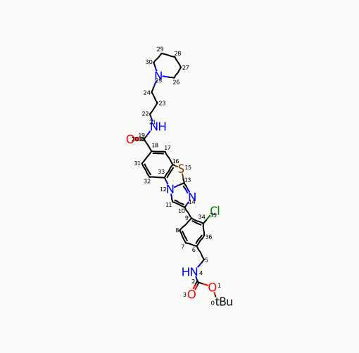 CC(C)(C)OC(=O)NCc1ccc(-c2cn3c(n2)sc2cc(C(=O)NCCCN4CCCCC4)ccc23)c(Cl)c1